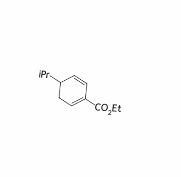 CCOC(=O)C1=CCC(C(C)C)C=C1